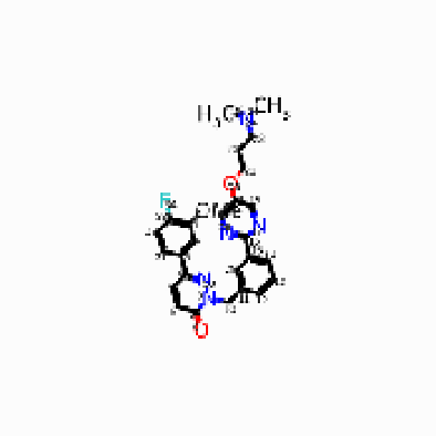 COc1cc(-c2ccc(=O)n(Cc3cccc(-c4ncc(OCCCN(C)C)cn4)c3)n2)ccc1F